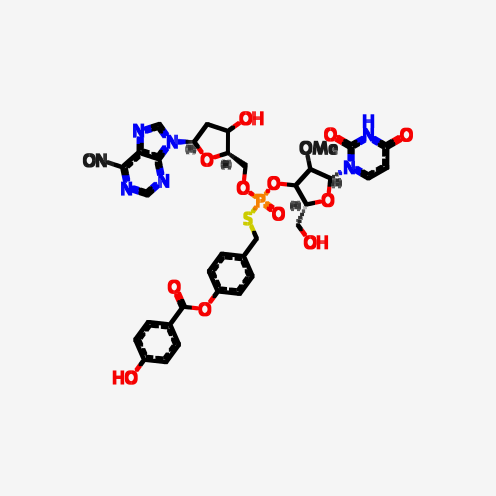 COC1C(OP(=O)(OC[C@H]2O[C@@H](n3cnc4c(N=O)ncnc43)CC2O)SCc2ccc(OC(=O)c3ccc(O)cc3)cc2)[C@@H](CO)O[C@H]1n1ccc(=O)[nH]c1=O